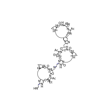 CC[C@@H]1[C@@H]2CN(C(=O)[C@H](C(C)(C)C/N=C/C=C3/N=C4O[C@H]5CN(C(=O)[C@H](C(C)(C)Cc6cnc7cc8c(cn67)CCCCC[C@@H]6C7CC7C[C@H]6OC(=O)N[C@@H](C(C)(C)C)C(=O)N6C[C@H](O8)[C@@H](C)[C@H]6C(C)=O)NC(=O)O[C@@H]6CC7CC7[C@H]6CCCCCN4C(=O)N3)[C@H](C(C)=O)[C@@H]5CC)NC(=O)O[C@@H]3CC4CC4[C@H]3CCCCCC3=N/C(=C/C=N)NC=C3O2)[C@@H]1C(C)=O